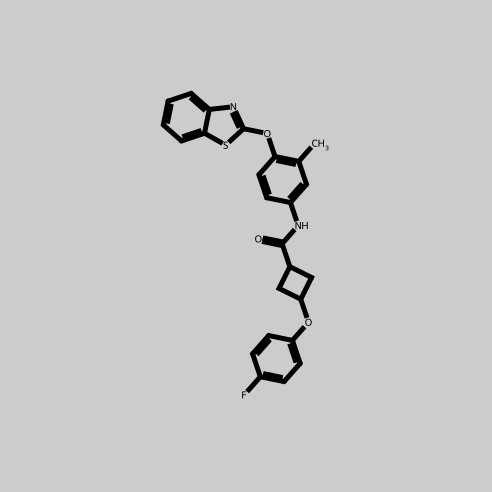 Cc1cc(NC(=O)C2CC(Oc3ccc(F)cc3)C2)ccc1Oc1nc2ccccc2s1